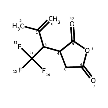 C=C(C)C(C1CC(=O)OC1=O)C(F)(F)F